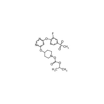 CC(C)OC(=O)ON1CCC(Oc2cc(Oc3ccc(S(C)(=O)=O)cc3F)ncn2)CC1